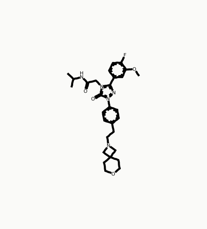 COc1cc(-c2nn(-c3ccc(CCN4CC5(CCOCC5)C4)cc3)c(=O)n2CC(=O)NC(C)C)ccc1F